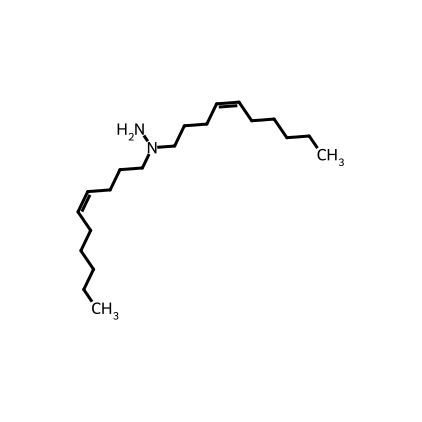 CCCCC/C=C\CCCN(N)CCC/C=C\CCCCC